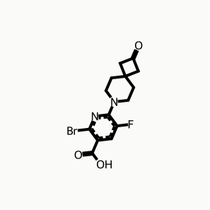 O=C1CC2(CCN(c3nc(Br)c(C(=O)O)cc3F)CC2)C1